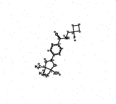 CC1(C)OB(c2ccc(C(=O)NCC3(F)CCC3)cc2)OC1(C)C